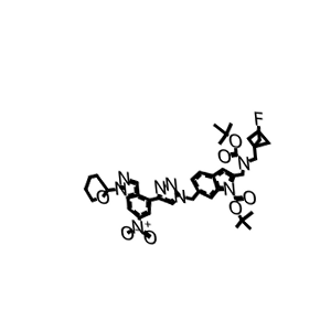 CC(C)(C)OC(=O)N(Cc1cc2ccc(Cn3cc(-c4cc([N+](=O)[O-])cc5c4cnn5C4CCCCO4)nn3)cc2n1C(=O)OC(C)(C)C)CC12CC(F)(C1)C2